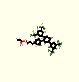 C=CC(=O)OCCCc1ccc(-c2cc(-c3cc(C(F)(F)F)cc(C(F)(F)F)c3)ccc2-c2cc(C(F)(F)F)cc(C(F)(F)F)c2)cc1